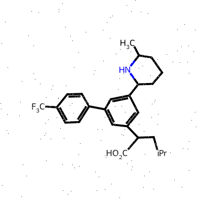 CC(C)CC(C(=O)O)c1cc(-c2ccc(C(F)(F)F)cc2)cc(C2CCCC(C)N2)c1